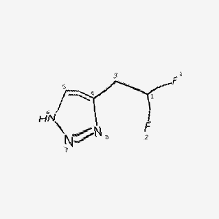 FC(F)Cc1c[nH]nn1